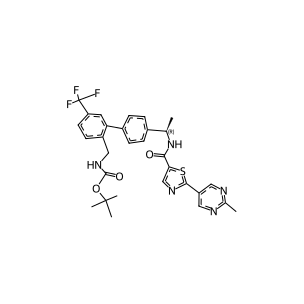 Cc1ncc(-c2ncc(C(=O)N[C@H](C)c3ccc(-c4cc(C(F)(F)F)ccc4CNC(=O)OC(C)(C)C)cc3)s2)cn1